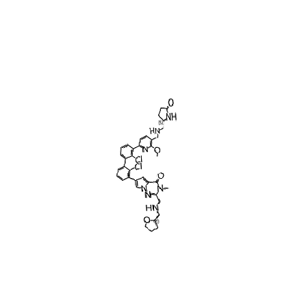 COc1nc(-c2cccc(-c3cccc(-c4cc5c(=O)n(C)c(CNC[C@H]6CCCO6)nn5c4)c3Cl)c2Cl)ccc1CNC[C@@H]1CCC(=O)N1